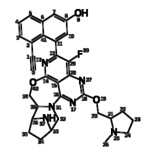 C#Cc1cccc2cc(O)cc(-c3nc4c5c(nc(OCC6CCCN6C)nc5c3F)N3CC5CCC(N5)C3CO4)c12